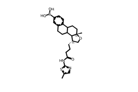 Cc1cnc(NC(=O)CCC[C@H]2CO[C@@]3(C)CCC4c5ccc(B(O)O)cc5CCC4C23)s1